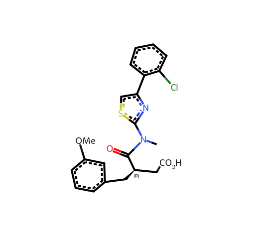 COc1cccc(C[C@H](CC(=O)O)C(=O)N(C)c2nc(-c3ccccc3Cl)cs2)c1